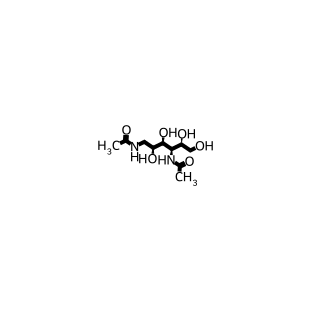 CC(=O)NC[C@H](O)[C@@H](O)[C@H](NC(C)=O)[C@H](O)CO